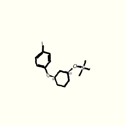 C[Si](C)(C)O[C@H]1CCC[C@@H](Oc2ccc(I)cc2)C1